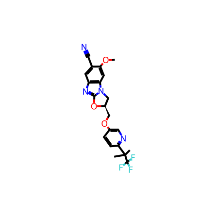 COc1cc2c(cc1C#N)nc1n2C[C@@H](COc2ccc(C(C)(C)C(F)(F)F)nc2)O1